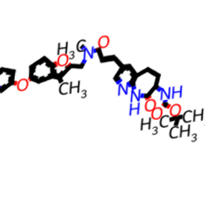 Cc1c(CN(C)C(=O)/C=C/c2cnc3c(c2)CCC(NC(=O)OC(C)(C)C)C(=O)N3)oc2ccc(Oc3cccnc3)cc12